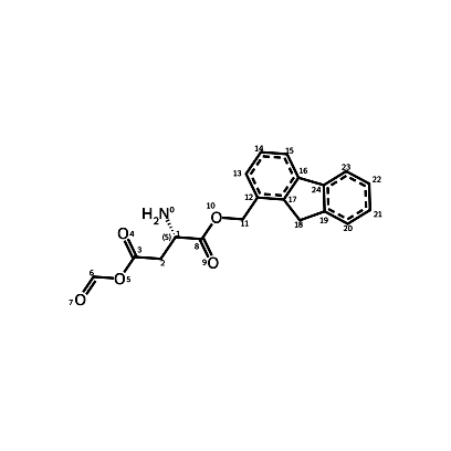 N[C@@H](CC(=O)OC=O)C(=O)OCc1cccc2c1Cc1ccccc1-2